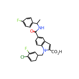 CC(NC(=O)c1ccc2c(c1)cc(C(=O)O)n2CC1C=C(F)C(Cl)=CC1)c1ccc(F)cc1